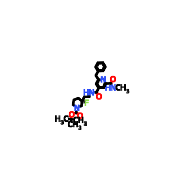 CNC(=O)c1cc(C(=O)NCC[C@]2(F)CCCN(C(=O)OC(C)(C)C)C2)cc(Cc2ccccc2)n1